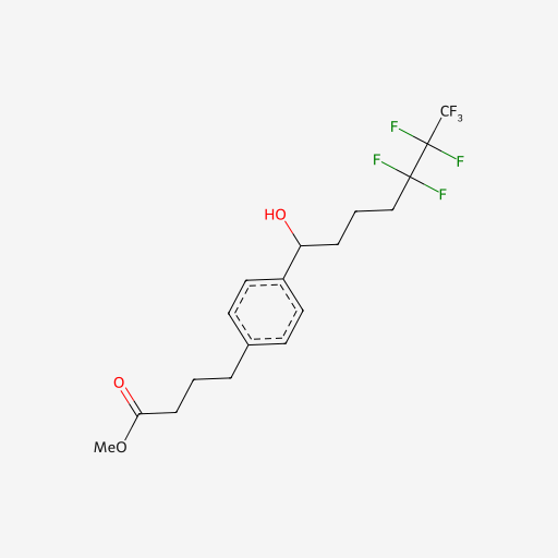 COC(=O)CCCc1ccc(C(O)CCCC(F)(F)C(F)(F)C(F)(F)F)cc1